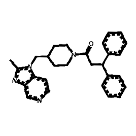 Cc1nc2cnccc2n1CC1CCN(C(=O)CC(c2ccccc2)c2ccccc2)CC1